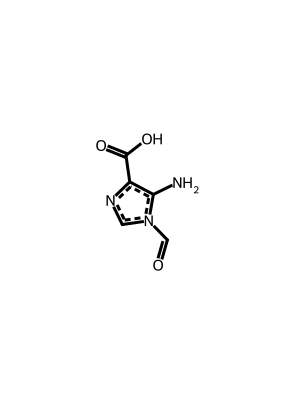 Nc1c(C(=O)O)ncn1C=O